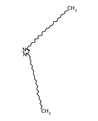 CCCCCCCCCCCCCCCCCCCCCCCc1cc(CCCCCCCCCCCCCCCCCCCCCCC)n[c]n1